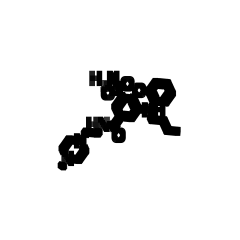 CCCCNc1cc(C(=O)NCCN2CCN(C)CC2)cc(S(N)(=O)=O)c1Oc1ccccc1